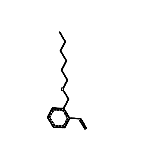 C=Cc1ccccc1COCCCCCC